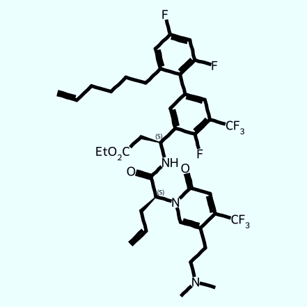 C=CCCCCc1cc(F)cc(F)c1-c1cc([C@H](CC(=O)OCC)NC(=O)[C@H](CC=C)n2cc(CCN(C)C)c(C(F)(F)F)cc2=O)c(F)c(C(F)(F)F)c1